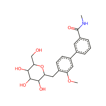 CNC(=O)c1cccc(-c2ccc(CC3OC(CO)C(O)C(O)C3O)c(OC)c2)c1